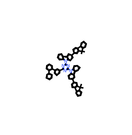 CC1(C)c2ccccc2-c2ccc(-c3ccc4c(c3)c3ccccc3n4-c3nc(-c4cccc(-c5ccccc5-c5ccccc5)c4)nc(-n4c5ccccc5c5cc(-c6ccc7c(c6)C(C)(C)c6ccccc6-7)ccc54)n3)cc21